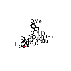 C=CC1CC1N(C(=O)C1CC(Oc2nccc3cc(OC)ccc23)CN1C(=O)C(NC(=O)OC(C)(C)C)C(C)(C)C)C(=O)N(CC)S(=O)(=O)C1CC1